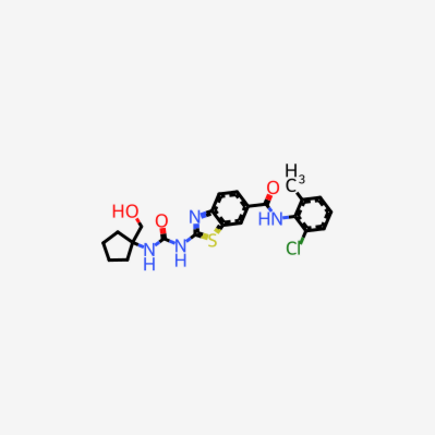 Cc1cccc(Cl)c1NC(=O)c1ccc2nc(NC(=O)NC3(CO)CCCC3)sc2c1